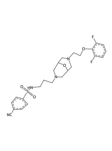 N#Cc1ccc(S(=O)(=O)NCCCN2CC3CN(CCOc4c(F)cccc4F)CC(C2)O3)cc1